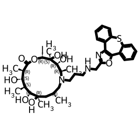 C[C@H]1CN(CCCNCc2nc3c(o2)-c2ccccc2Sc2ccccc2-3)[C@H](C)[C@@H](O)[C@](C)(O)[C@@H](I)OC(=O)[C@H](C)[C@@H](O)[C@H](C)[C@@H](O)[C@](C)(O)C1